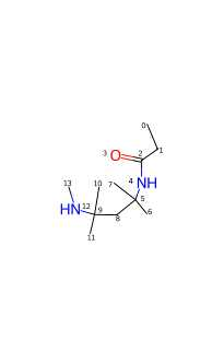 CCC(=O)NC(C)(C)CC(C)(C)NC